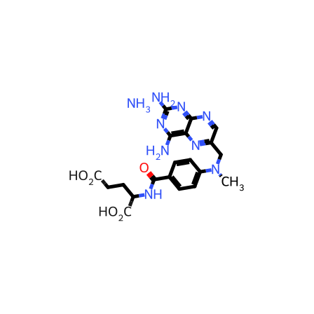 CN(Cc1cnc2nc(N)nc(N)c2n1)c1ccc(C(=O)NC(CCC(=O)O)C(=O)O)cc1.N